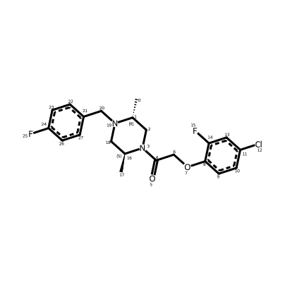 C[C@@H]1CN(C(=O)COc2ccc(Cl)cc2F)[C@@H](C)CN1Cc1ccc(F)cc1